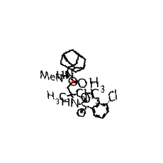 CNC(=O)C12CC3CC(C1)C(NC(=O)CC(C)(C)NS(=O)(=O)c1cccc(Cl)c1C)C(C3)C2